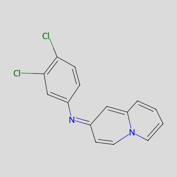 Clc1ccc(N=c2ccn3ccccc3c2)cc1Cl